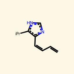 C=C/C=C\c1nc[nH]c1C(C)C